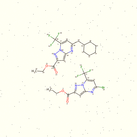 CCOC(=O)c1cc2nc(Br)cc(C(F)(F)F)n2n1.CCOC(=O)c1cc2nc(CC3CCCCC3)cc(C(F)(F)F)n2n1